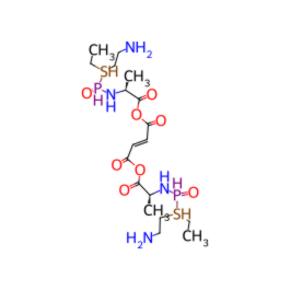 CC[SH](CCN)[PH](=O)N[C@@H](C)C(=O)OC(=O)/C=C/C(=O)OC(=O)[C@H](C)N[PH](=O)[SH](CC)CCN